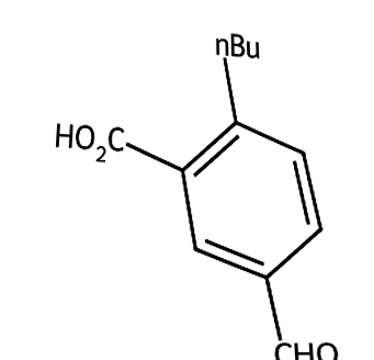 CCCCc1ccc(C=O)cc1C(=O)O